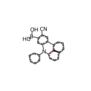 N#Cc1cc(-c2ccccc2)c(N(c2ccccc2)c2ccccc2)cc1B(O)O